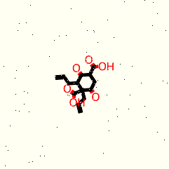 C=CCC1C(=O)C(C(=O)O)CC(=O)C1(CC=C)C(=O)O